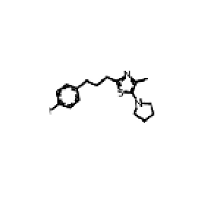 Cc1nc(CCCc2ccc(I)cc2)sc1N1CCCC1